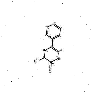 CC1NC(c2ccccc2)=NNC1=O